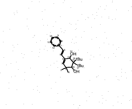 CC1(C)C=C(C=Cc2ccccc2)C(O)C(C(C)(C)C)(C(C)(C)C)C1O